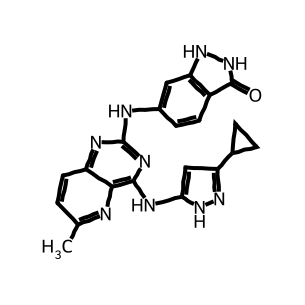 Cc1ccc2nc(Nc3ccc4c(=O)[nH][nH]c4c3)nc(Nc3cc(C4CC4)n[nH]3)c2n1